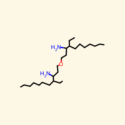 CCCCCCCC(CC)C(N)CCOCCC(N)C(CC)CCCCCCC